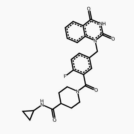 O=C(NC1CC1)C1CCN(C(=O)c2cc(Cn3c(=O)[nH]c(=O)c4ccccc43)ccc2F)CC1